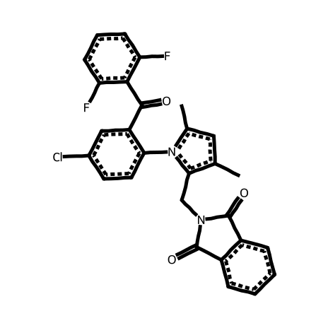 Cc1cc(C)n(-c2ccc(Cl)cc2C(=O)c2c(F)cccc2F)c1CN1C(=O)c2ccccc2C1=O